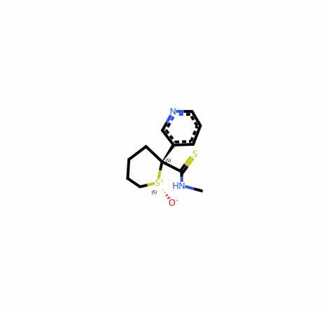 CNC(=S)[C@@]1(c2cccnc2)CCCC[S@@+]1[O-]